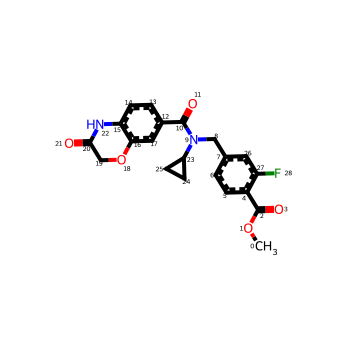 COC(=O)c1ccc(CN(C(=O)c2ccc3c(c2)OCC(=O)N3)C2CC2)cc1F